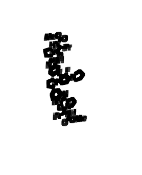 COC(=O)N[C@H](C(=O)N1CCC[C@H]1c1nc2cc([C@H]3CC[C@H](c4ccc5[nH]c([C@@H]6CCCN6C(=O)[C@@H](NC(=O)OC)C(C)C)nc5c4)N3c3ccc(N4CCCCC4)c(F)c3F)ccc2[nH]1)C(C)C